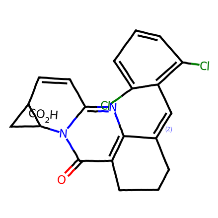 O=C(O)C12C=Cc3nc4c(c(=O)n3C1C2)CCC/C4=C/c1c(Cl)cccc1Cl